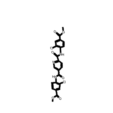 COC(=O)c1ccc(NC(=O)c2ccc(C(=O)Nc3ccc(C(=O)OC)cc3Cl)nc2)c(Cl)c1